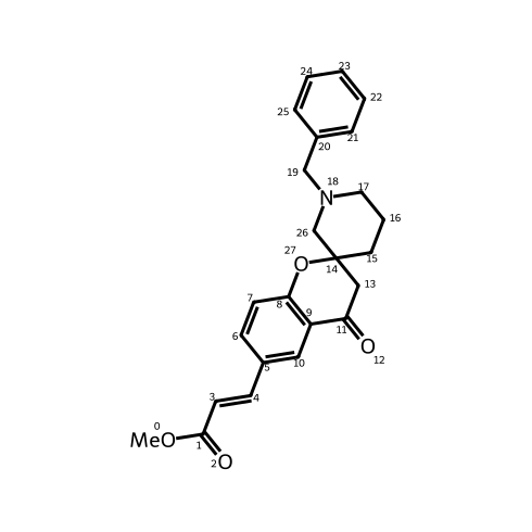 COC(=O)C=Cc1ccc2c(c1)C(=O)CC1(CCCN(Cc3ccccc3)C1)O2